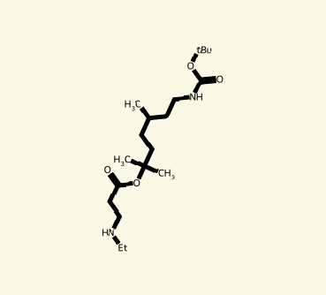 CCNCCC(=O)OC(C)(C)CCC(C)CCNC(=O)OC(C)(C)C